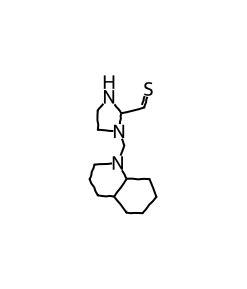 S=CC1NCCN1CN1CCCC2CCCCC21